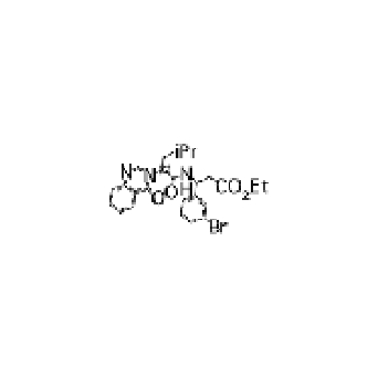 CCOC(=O)CC(NC(=O)[C@H](CC(C)C)n1cnc2ccccc2c1=O)c1cccc(Br)c1